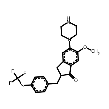 COc1cc2c(cc1N1CCNCC1)CC(Cc1ccc(SC(F)(F)F)cc1)C2=O